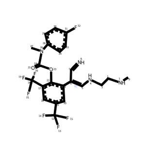 CNCCN/C=C(\C=N)c1cc(C(F)(F)F)cc(C(F)(F)F)c1OC(=O)N(C)c1ccc(F)cc1